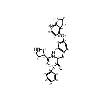 O=C(NC(Cc1ccc(Oc2ccnc3[nH]ccc23)cc1)C(=O)Nc1ccccc1)C1CCNC1